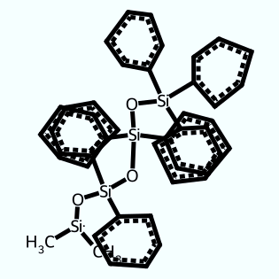 C[Si](C)O[Si](O[Si](O[Si](c1ccccc1)(c1ccccc1)c1ccccc1)(c1ccccc1)c1ccccc1)(c1ccccc1)c1ccccc1